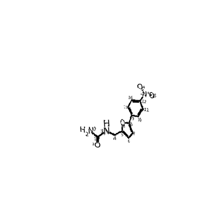 NC(=O)NCc1ccc(-c2ccc([N+](=O)[O-])cc2)o1